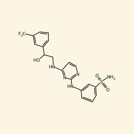 NS(=O)(=O)c1cccc(Nc2nccc(NCC(O)c3cccc(C(F)(F)F)c3)n2)c1